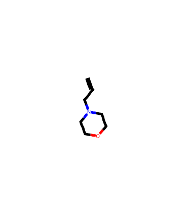 C=[C]CN1CCOCC1